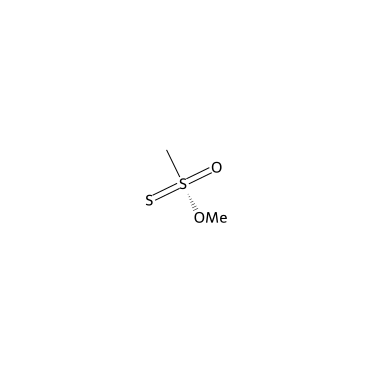 CO[S@](C)(=O)=S